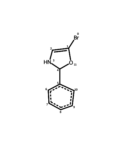 BrC1=CNC(c2ccccc2)O1